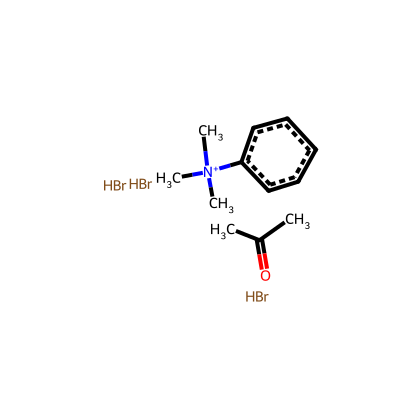 Br.Br.Br.CC(C)=O.C[N+](C)(C)c1ccccc1